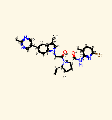 C=C[C@@H]1[C@@H](C)C[C@@H](C(=O)Nc2nc(Br)ccc2C)N1C(=O)Cn1cc(C(C)=O)c2cc(-c3cnc(C)nc3)ccc21